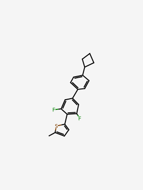 Cc1ccc(-c2c(F)cc(-c3ccc(C4CCC4)cc3)cc2F)s1